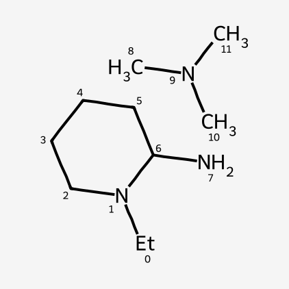 CCN1CCCCC1N.CN(C)C